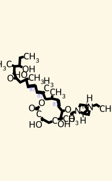 CCC(O)C(C)C1OC1CC(C)(O)/C=C/C=C(\C)C1OC(=O)CC(O)CCC(C)(O)C(OC(=O)N2C[C@@H]3C[C@H]2CN3CC)/C=C/C1C